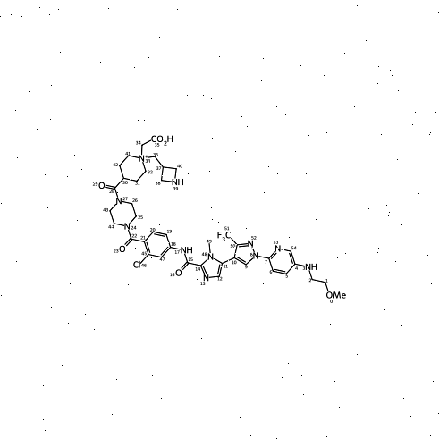 COCCNc1ccc(-n2cc(-c3cnc(C(=O)Nc4ccc(C(=O)N5CCN(C(=O)C6CC[N+](CC(=O)O)(CC7CNC7)CC6)CC5)c(Cl)c4)n3C)c(C(F)(F)F)n2)nc1